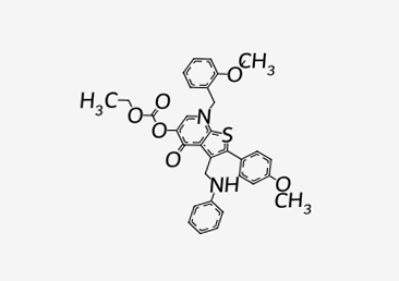 CCOC(=O)Oc1cn(Cc2ccccc2OC)c2sc(-c3ccc(OC)cc3)c(CNc3ccccc3)c2c1=O